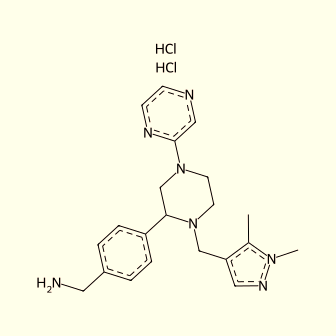 Cc1c(CN2CCN(c3cnccn3)CC2c2ccc(CN)cc2)cnn1C.Cl.Cl